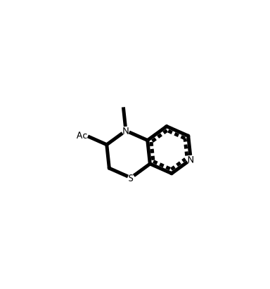 CC(=O)C1CSc2cnccc2N1C